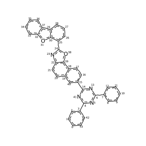 c1ccc(-c2nc(-c3ccccc3)nc(-c3ccc4c(ccc5nc(-c6cccc7c6oc6ccccc67)oc54)c3)n2)cc1